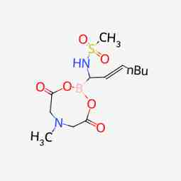 CCCCC=CC(NS(C)(=O)=O)B1OC(=O)CN(C)CC(=O)O1